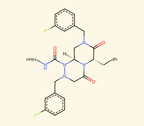 CCCCCCNC(=O)N1[C@H]2CN(Cc3cccc(F)c3)C(=O)[C@H](CC(C)C)N2C(=O)CN1Cc1cccc(F)c1